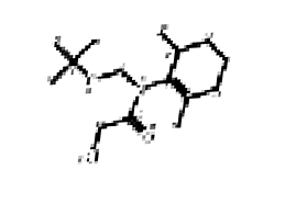 CC1=C(N(COC(C)(C)C)C(=O)CCl)C(C)CCC1